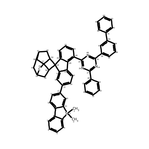 C[Si]1(C)c2ccccc2-c2ccc(-c3ccc4c(c3)C3(c5cccc(-c6nc(-c7ccccc7)nc(-c7cccc(-c8ccccc8)c7)n6)c5-4)C4CC5CC6CC3C4(C5)C6)cc21